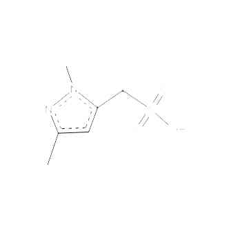 Cc1cc(CS(=O)(=O)O)n(C)n1